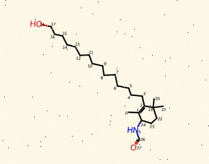 CC1=C(CCCCCCCCCCCCCCCO)C(C)(C)CCC1N[C]=O